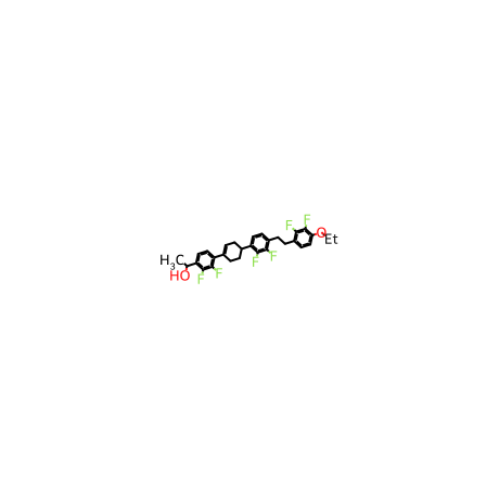 CCOc1ccc(CCc2ccc(C3CC=C(c4ccc(C(C)O)c(F)c4F)CC3)c(F)c2F)c(F)c1F